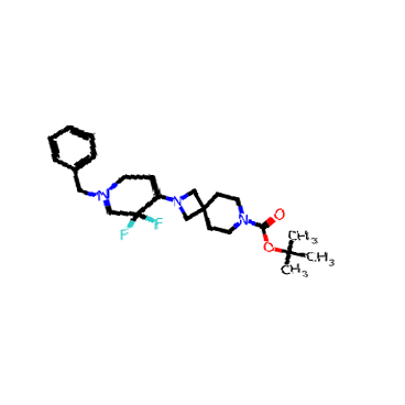 CC(C)(C)OC(=O)N1CCC2(CC1)CN(C1CCN(Cc3ccccc3)CC1(F)F)C2